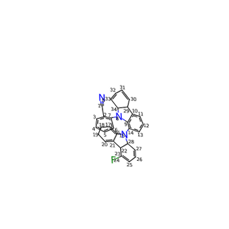 N#Cc1ccccc1N1c2c(cccc2N2C3=CCCC=C3C3C(F)=CC=CC32)C2C=CC=CC21